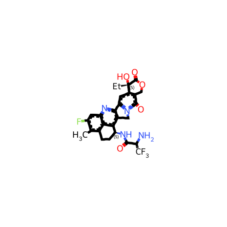 CC[C@@]1(O)C(=O)OCc2c1cc1n(c2=O)Cc2c-1nc1cc(F)c(C)c3c1c2[C@@H](NC(=O)C(N)C(F)(F)F)CC3